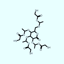 CC(OCC1OC(=O)C(OC(C)OC(=O)CS)C(OC(C)OC(=O)CS)C1OC(C)OC(=O)CS)OC(=O)CS